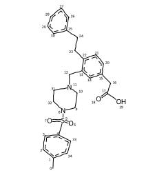 Cc1ccc(S(=O)(=O)N2CCN(Cc3cc(CC(=O)O)ccc3CCc3ccccc3)CC2)cc1